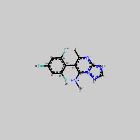 Cc1nc2ncnn2c(NC(C)C)c1-c1c(F)cc(F)cc1F